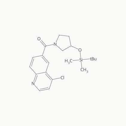 CC(C)(C)[Si](C)(C)OC1CCN(C(=O)c2ccc3nccc(Cl)c3c2)C1